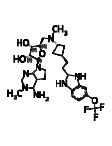 CN1CN=C2C(CCN2[C@@H]2O[C@H](CN(C)[C@H]3C[C@H](CCC4Nc5ccc(OC(F)(F)F)cc5N4)C3)[C@@H](O)[C@H]2O)C1N